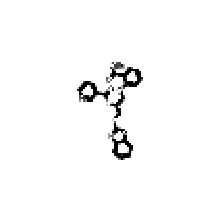 CC(C)COC(=O)c1ccccc1OCC(CSc1nc2ccccc2s1)OC(=O)c1cccnc1